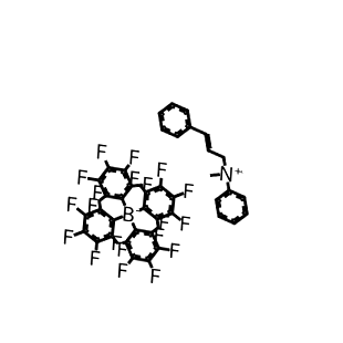 C[N+](C)(CC=Cc1ccccc1)c1ccccc1.Fc1c(F)c(F)c([B-](c2c(F)c(F)c(F)c(F)c2F)(c2c(F)c(F)c(F)c(F)c2F)c2c(F)c(F)c(F)c(F)c2F)c(F)c1F